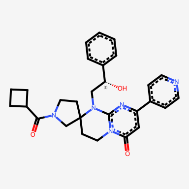 O=C(C1CCC1)N1CCC2(CCn3c(nc(-c4ccncc4)cc3=O)N2C[C@@H](O)c2ccccc2)C1